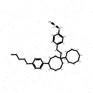 CCCCCc1ccc(C2CCCCC(CCc3ccc(N=C=S)cc3)(C3CCCCCCC3)CC2)cc1